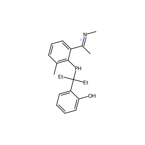 CCC(CC)(Pc1c(C)cccc1/C(C)=N/C)c1ccccc1O